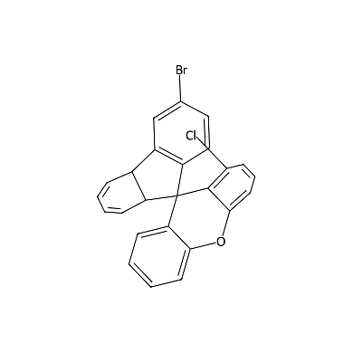 Clc1cccc2c1C1(c3ccccc3O2)c2ccc(Br)cc2C2C=CC=CC21